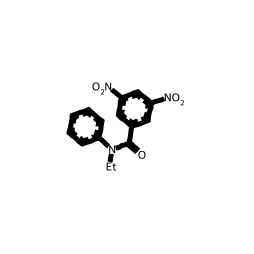 CCN(C(=O)c1cc([N+](=O)[O-])cc([N+](=O)[O-])c1)c1ccccc1